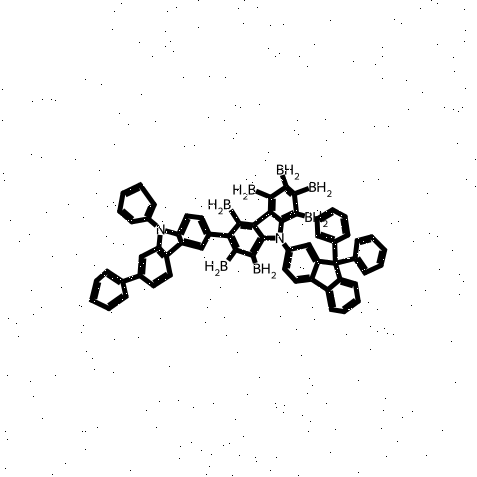 Bc1c(B)c(B)c2c(c1B)c1c(B)c(-c3ccc4c(c3)c3ccc(-c5ccccc5)cc3n4-c3ccccc3)c(B)c(B)c1n2-c1ccc2c(c1)C(c1ccccc1)(c1ccccc1)c1ccccc1-2